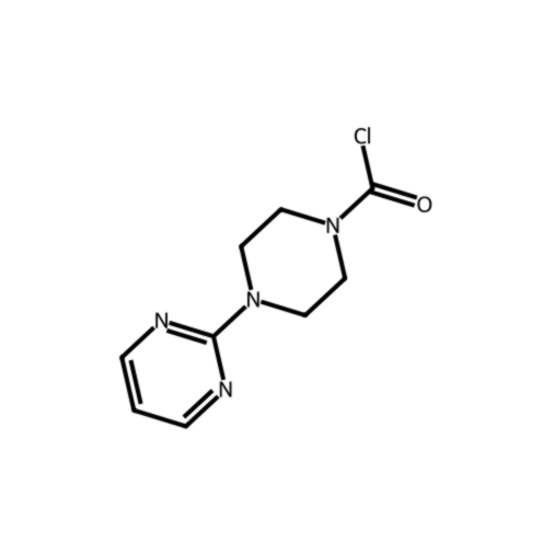 O=C(Cl)N1CCN(c2ncccn2)CC1